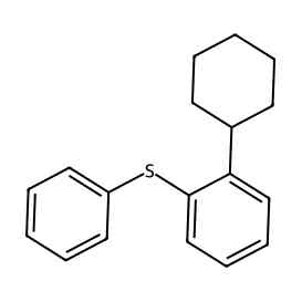 c1ccc(Sc2ccccc2C2CCCCC2)cc1